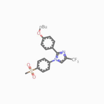 CCCCOc1ccc(-c2nc(C(F)(F)F)cn2-c2ccc(S(C)(=O)=O)cc2)cc1